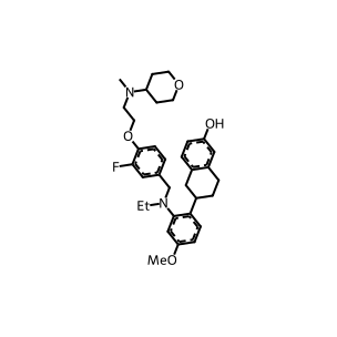 CCN(Cc1ccc(OCCN(C)C2CCOCC2)c(F)c1)c1cc(OC)ccc1C1CCc2cc(O)ccc2C1